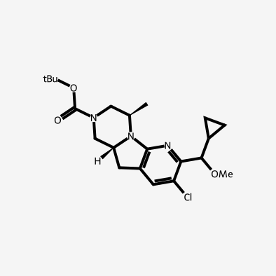 COC(c1nc2c(cc1Cl)C[C@@H]1CN(C(=O)OC(C)(C)C)C[C@@H](C)N21)C1CC1